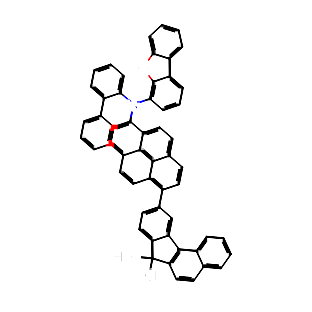 CC1(C)c2ccc(-c3ccc4ccc5c(N(c6ccccc6-c6ccccc6)c6cccc7c6oc6ccccc67)ccc6ccc3c4c65)cc2-c2c1ccc1ccccc21